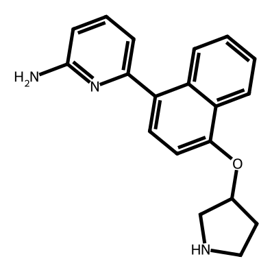 Nc1cccc(-c2ccc(OC3CCNC3)c3ccccc23)n1